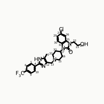 Cc1[nH]c(-c2ccc(C(F)(F)F)cc2)nc1CN1CCC(n2c(=O)n(CCO)c3cc(Cl)ccc32)CC1